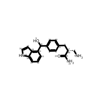 NC[C@@H](Cc1ccc(C(O)c2cccc3[nH]ccc23)cc1)C(N)=O